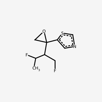 CC(F)C(CF)C1(c2cncs2)CO1